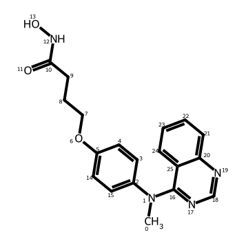 CN(c1ccc(OCCCC(=O)NO)cc1)c1ncnc2ccccc12